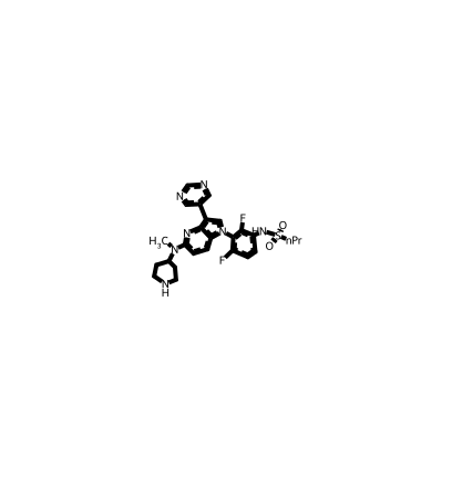 CCCS(=O)(=O)Nc1ccc(F)c(-n2cc(-c3cncnc3)c3nc(N(C)C4CCNCC4)ccc32)c1F